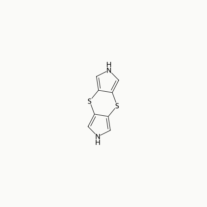 c1[nH]cc2c1Sc1c[nH]cc1S2